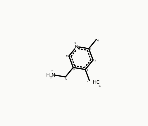 Cc1cc(C)c(CN)cn1.Cl